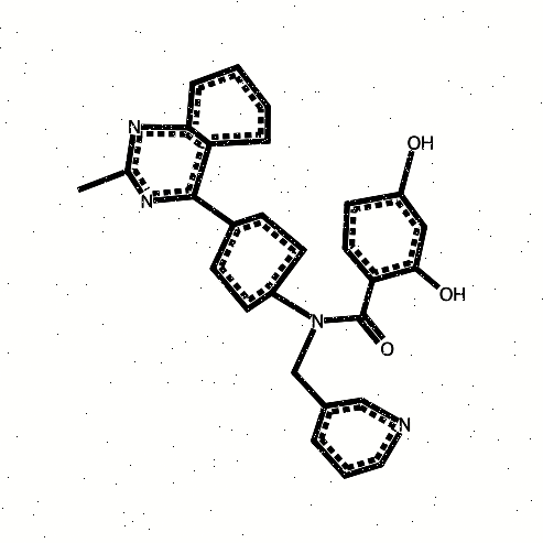 Cc1nc(-c2ccc(N(Cc3cccnc3)C(=O)c3ccc(O)cc3O)cc2)c2ccccc2n1